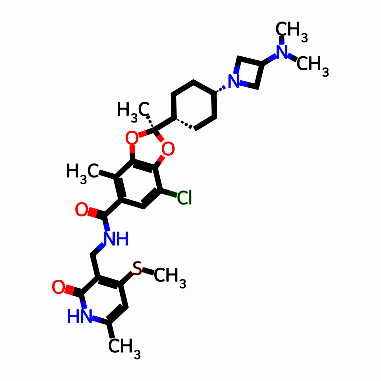 CSc1cc(C)[nH]c(=O)c1CNC(=O)c1cc(Cl)c2c(c1C)O[C@@](C)([C@H]1CC[C@@H](N3CC(N(C)C)C3)CC1)O2